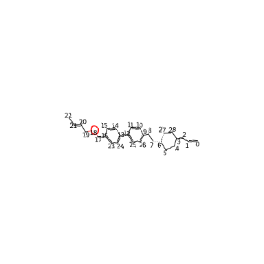 C=CC[C@H]1CC[C@H](CCc2ccc(-c3ccc(COCC=CC)cc3)cc2)CC1